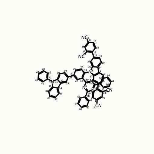 N#Cc1ccc(-c2ccc3c4ccc(-c5ccc(C#N)cc5C#N)cc4n(-c4ccc(-c5ccc6c(c5)c5ccccc5n6-c5ccccc5)cc4-c4nc(-c5ccccc5)nc(-c5ccccc5)n4)c3c2)c(C#N)c1